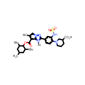 CC(=O)n1c(-c2ccc(N3CCCC(C(=O)O)C3)c(N[SH](=O)=O)c2)nn2cc(C#N)c(C(=O)OC3C(C(C)(C)C)CC(C)CC3C(C)(C)C)c12